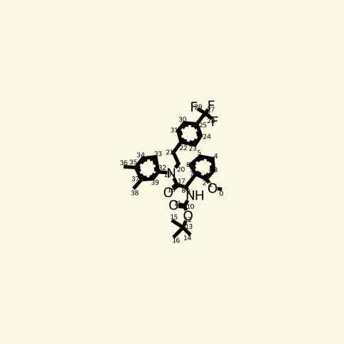 COc1ccccc1C(NC(=O)OC(C)(C)C)C(=O)N(CCc1ccc(C(F)(F)F)cc1)c1ccc(C)c(C)c1